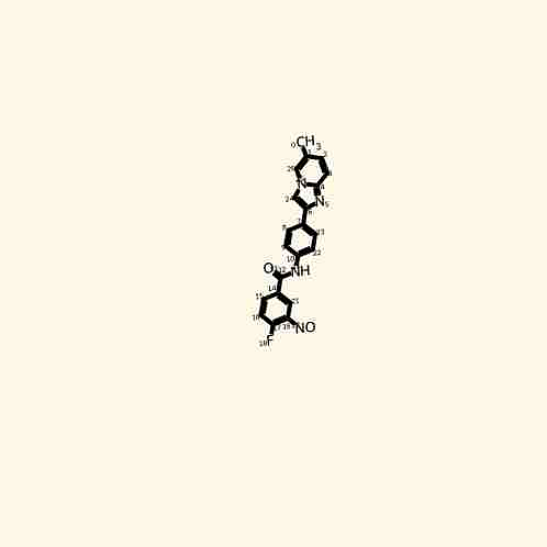 Cc1ccc2nc(-c3ccc(NC(=O)c4ccc(F)c(N=O)c4)cc3)cn2c1